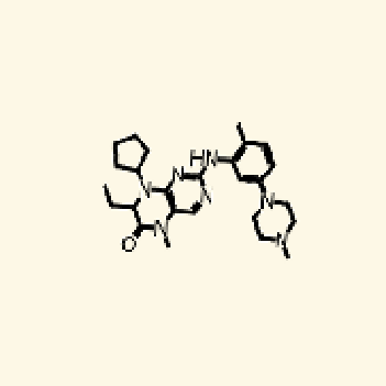 CCC1C(=O)N(C)c2cnc(Nc3cc(N4CCN(C)CC4)ccc3C)nc2N1C1CCCC1